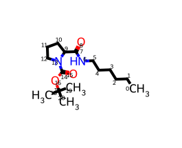 CCCCCCNC(=O)C1CCCN1C(=O)OC(C)(C)C